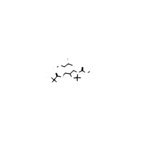 CCCCOC[C@@H](C[C@H]1C(CNC(=O)C(C)(C)CCCC)OC(C)(C)N1C(=O)OC(C)(C)C)C(C)C